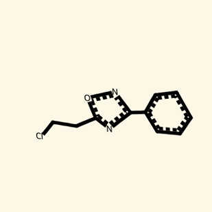 ClCCc1nc(-c2ccccc2)no1